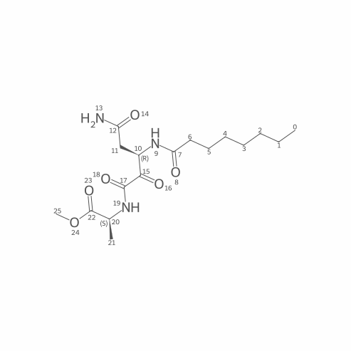 CCCCCCCC(=O)N[C@H](CC(N)=O)C(=O)C(=O)N[C@@H](C)C(=O)OC